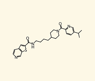 CC(C)c1ccc(C(=O)N2CCC(CCCCNC(=O)c3cc4ccncc4s3)CC2)nc1